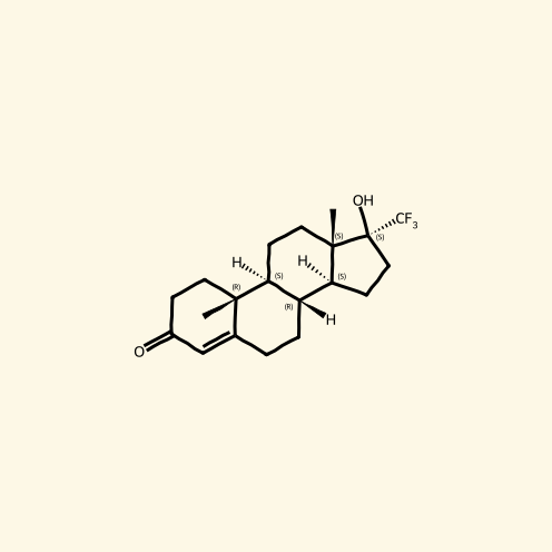 C[C@]12CCC(=O)C=C1CC[C@@H]1[C@@H]2CC[C@@]2(C)[C@H]1CC[C@@]2(O)C(F)(F)F